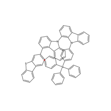 c1ccc([Si](c2ccccc2)(c2ccccc2)c2ccc(-n3c4ccccc4c4cccc(-n5c6ccccc6c6c(-c7ccc8c(c7)sc7ccccc78)cccc65)c43)cc2)cc1